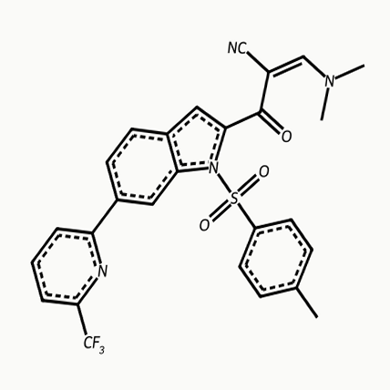 Cc1ccc(S(=O)(=O)n2c(C(=O)/C(C#N)=C\N(C)C)cc3ccc(-c4cccc(C(F)(F)F)n4)cc32)cc1